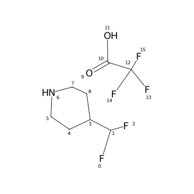 FC(F)C1CCNCC1.O=C(O)C(F)(F)F